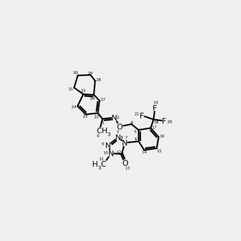 CC(=NOCc1c(-n2nnn(C)c2=O)cccc1C(F)(F)F)c1ccc2c(c1)CCCC2